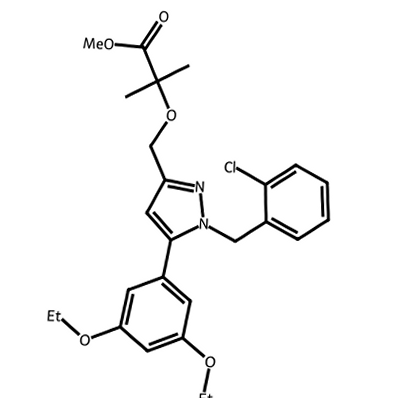 CCOc1cc(OCC)cc(-c2cc(COC(C)(C)C(=O)OC)nn2Cc2ccccc2Cl)c1